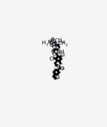 C=C(/C=C(\C)S(C)(=O)=O)C[C@H](NC(=O)c1c(Cl)cc2c(c1Cl)CCN(C(=O)c1ccc3ccoc3c1)C2)C(=O)O